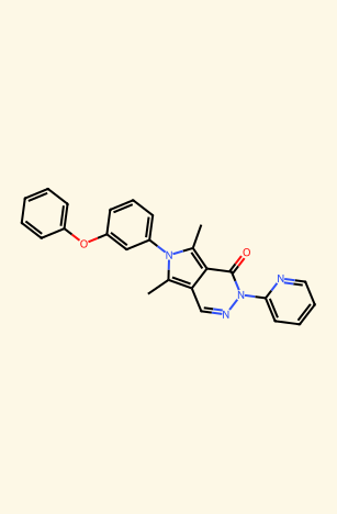 Cc1c2cnn(-c3ccccn3)c(=O)c2c(C)n1-c1cccc(Oc2ccccc2)c1